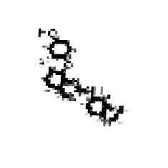 OC1CCC(Oc2c(Br)ccc3cnc(Nc4ccc5nc[nH]c5c4)nc23)CC1